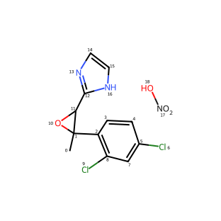 CC1(c2ccc(Cl)cc2Cl)OC1c1ncc[nH]1.O=[N+]([O-])O